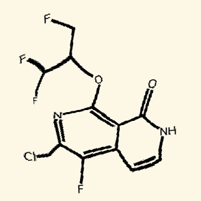 O=c1[nH]ccc2c(F)c(Cl)nc(OC(CF)C(F)F)c12